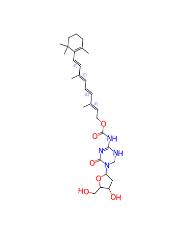 CC1=C(/C=C/C(C)=C/C=C/C(C)=C/COC(=O)NC2=NC(=O)N(C3CC(O)C(CO)O3)CN2)C(C)(C)CCC1